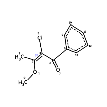 CO/C(C)=C(/Cl)C(=O)c1ccccc1